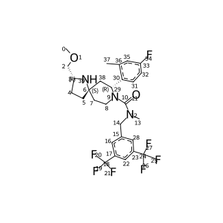 COC[C@H]1CC[C@@]2(CCN(C(=O)N(C)Cc3cc(C(F)(F)F)cc(C(F)(F)F)c3)[C@@H](c3ccc(F)cc3C)C2)N1